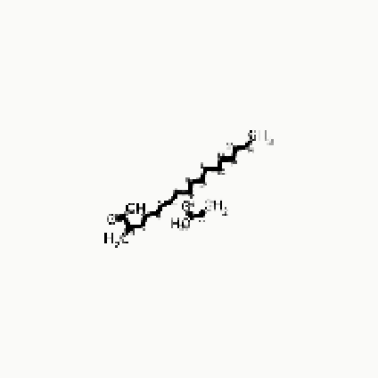 C=C(CCCCCCCCCCCCCCCC)C(=O)O.C=CC(=O)O